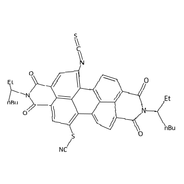 CCCCC(CC)N1C(=O)c2ccc3c4c(N=C=S)cc5c6c(cc(SC#N)c(c7ccc(c2c37)C1=O)c64)C(=O)N(C(CC)CCCC)C5=O